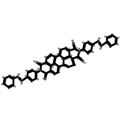 O=C1c2ccc3c4ccc5c6c(ccc(c7ccc(c2c37)C(=O)N1c1ccc(N=Nc2ccccc2)cc1)c64)C(=O)N(c1ccc(N=Nc2ccccc2)cc1)C5=O